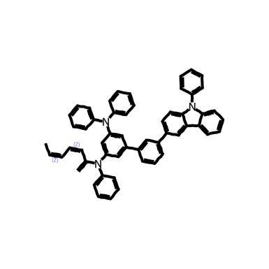 C=C(/C=C\C=C/C)N(c1ccccc1)c1cc(-c2cccc(-c3ccc4c(c3)c3ccccc3n4-c3ccccc3)c2)cc(N(c2ccccc2)c2ccccc2)c1